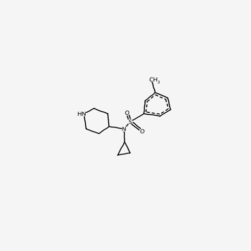 Cc1cccc(S(=O)(=O)N(C2CCNCC2)C2CC2)c1